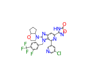 O=c1[nH]c(-c2cc3nc(N4CCOC5CCCC54)n(Cc4ccc(C(F)(F)F)c(F)c4)c3c(-c3cncc(Cl)c3)n2)no1